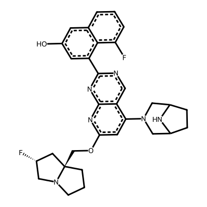 Oc1cc(-c2ncc3c(N4CC5CCC(C4)N5)cc(OC[C@@]45CCCN4C[C@H](F)C5)nc3n2)c2c(F)cccc2c1